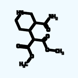 COC(=O)C(C(=O)OC)C1CCNCC1C(N)=O